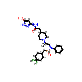 C[C@H](CN(c1ccccc1)[S+]([O-])CC1CCC(F)(F)CC1)N1CCC(CC(=O)Nc2cc(O)[nH]n2)CC1